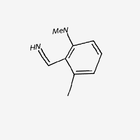 CNc1cccc(C)c1C=N